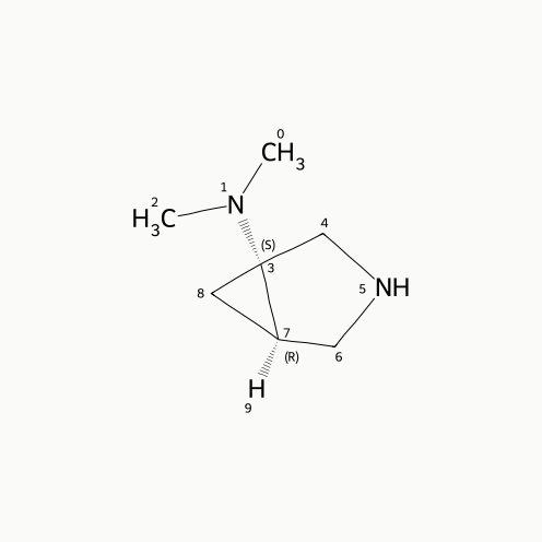 CN(C)[C@]12CNC[C@H]1C2